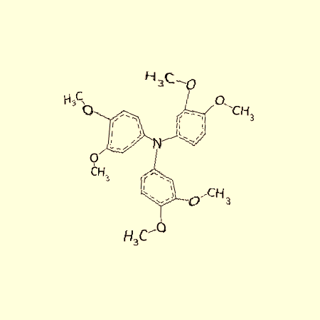 COc1ccc(N(c2ccc(OC)c(OC)c2)c2ccc(OC)c(OC)c2)cc1OC